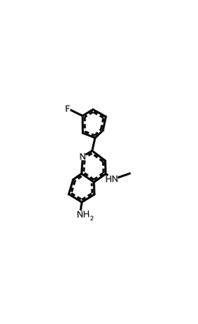 CNc1cc(-c2cccc(F)c2)nc2ccc(N)cc12